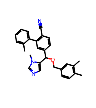 Cc1ccc(COC(c2ccc(C#N)c(-c3ccccc3C)c2)c2cncn2C)cc1C